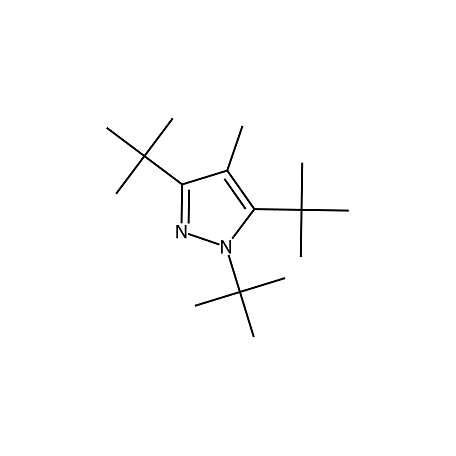 Cc1c(C(C)(C)C)nn(C(C)(C)C)c1C(C)(C)C